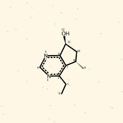 CCc1ncnc2c1[C@@H](C)C[C@@H]2O